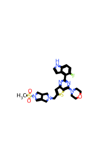 CS(=O)(=O)N1C=C2CN(Cc3cc4nc(-c5c(F)ccc6[nH]ccc56)nc(N5CCOCC5)c4s3)CC2C1